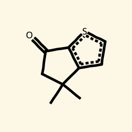 CC1(C)CC(=O)c2sccc21